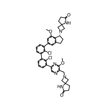 COc1cc(-c2cccc(-c3cccc(-c4cnc(CN5CC6(CCC(=O)N6)C5)c(OC)n4)c3Cl)c2Cl)cc2c1[C@H](N1CC3(CCC(=O)N3)C1)CC2